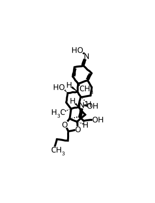 CCCC1O[C@@H]2C[C@H]3[C@@H]4CCC5=C/C(=N/O)C=C[C@]5(C)[C@H]4[C@@H](O)C[C@]3(C)[C@]2(/C(CO)=N/O)O1